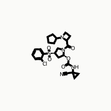 N#CC1(NC(=O)O[C@H]2C[C@@H](S(=O)(=O)c3ccccc3Cl)CN2C(=O)C2CCN2C2CCCC2)CC1